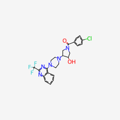 O=C(c1ccc(Cl)cc1)N1CC(O)C(N2CCN(c3nc(C(F)(F)F)nc4ccccc34)CC2)C1